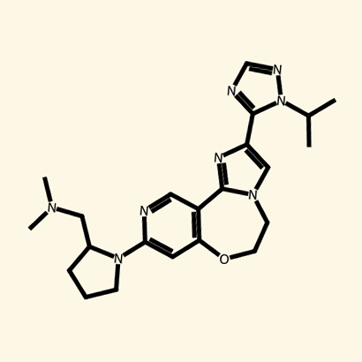 CC(C)n1ncnc1-c1cn2c(n1)-c1cnc(N3CCCC3CN(C)C)cc1OCC2